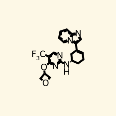 FC(F)(F)c1cnc(N[C@H]2CCC=C(c3cnc4ccccn34)C2)nc1OC1COC1